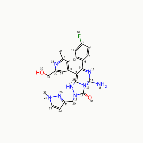 Cc1cc(-c2c(-c3ccc(F)cc3)nc(N)[n+]3c(=O)n(Cc4ccn(C)n4)[nH]c23)cc(CO)n1